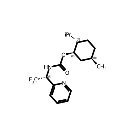 CC(C)[C@@H]1CC[C@@H](C)C[C@H]1OC(=O)N[C@H](c1ccccn1)C(F)(F)F